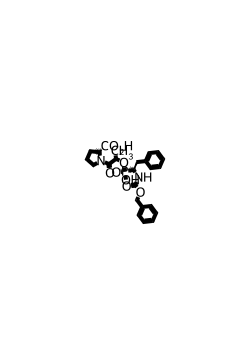 CC(OP(=O)(O)[C@@H](Cc1ccccc1)NC(=O)OCc1ccccc1)C(=O)N1CCC[C@H]1C(=O)O